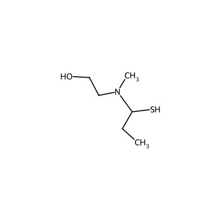 CCC(S)N(C)CCO